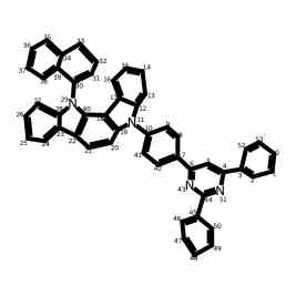 c1ccc(-c2cc(-c3ccc(-n4c5ccccc5c5c4ccc4c6ccccc6n(-c6cccc7ccccc67)c45)cc3)nc(-c3ccccc3)n2)cc1